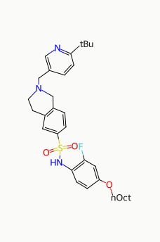 CCCCCCCCOc1ccc(NS(=O)(=O)c2ccc3c(c2)CCN(Cc2ccc(C(C)(C)C)nc2)C3)c(F)c1